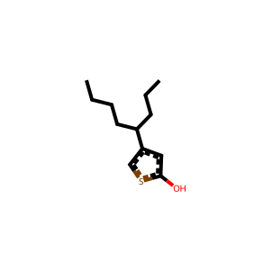 CCCCC(CCC)c1csc(O)c1